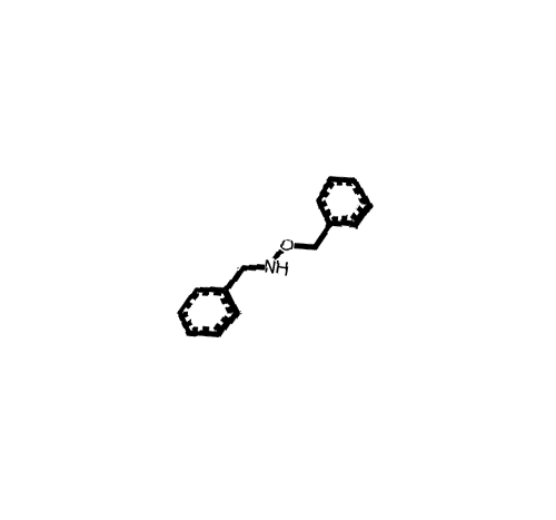 [CH](NOCc1ccccc1)c1ccccc1